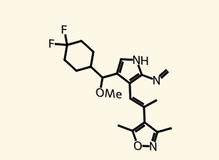 C=Nc1[nH]cc(C(OC)C2CCC(F)(F)CC2)c1/C=C(\C)c1c(C)noc1C